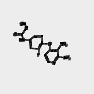 CC(C)(C)OC(=O)Nc1ccc(Oc2ccnc(N)c2[N+](=O)[O-])c(F)c1